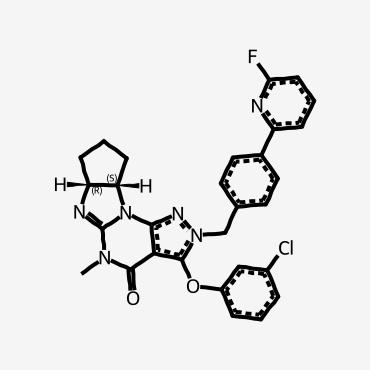 CN1C(=O)c2c(nn(Cc3ccc(-c4cccc(F)n4)cc3)c2Oc2cccc(Cl)c2)N2C1=N[C@@H]1CCC[C@@H]12